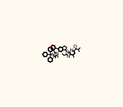 CCc1nc2c(C)cc(C(=O)C(C)C)nc2n1[C@H]1CCc2cc(-c3ccccc3-c3nnnn3C(c3ccccc3)(c3ccccc3)c3ccccc3)ccc21